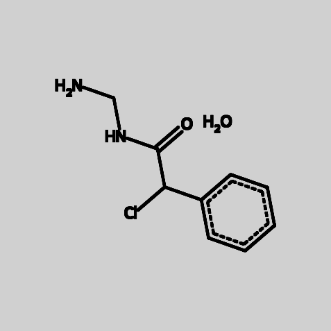 NCNC(=O)C(Cl)c1ccccc1.O